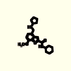 COc1ccc(CNC2CCCC2)c2cc(C(=O)NC3CCCCC3)oc12